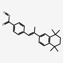 C/C(=C\c1ccc(C(=O)N=O)cc1)c1ccc2c(c1)C(C)(C)CCC2(C)C